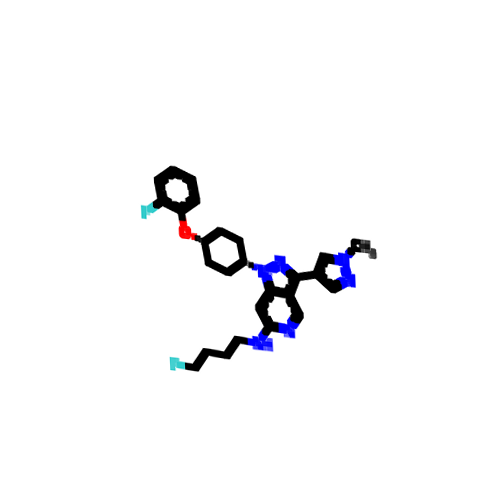 Cn1cc(-c2nn([C@H]3CC[C@@H](Oc4ccccc4F)CC3)c3cc(NCCCCF)ncc23)cn1